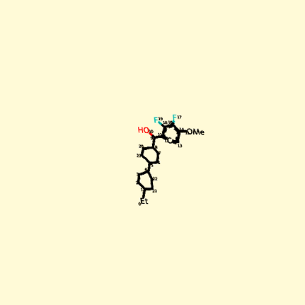 CCC1CCC(C2CCC(C(O)c3ccc(OC)c(F)c3F)CC2)CC1